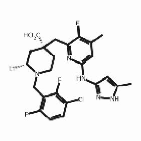 CC[C@@H]1C[C@](Cc2nc(Nc3cc(C)[nH]n3)cc(C)c2F)(C(=O)O)CCN1Cc1c(F)ccc(Cl)c1F